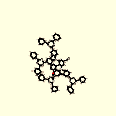 N#Cc1cccc(-c2c(-n3c4ccc(-c5nc(-c6ccccc6)nc(-c6ccccc6)n5)cc4c4cc(-c5nc(-c6ccccc6)nc(-c6ccccc6)n5)ccc43)cc(C#N)cc2-n2c3ccc(-c4nc(-c5ccccc5)nc(-c5ccccc5)n4)cc3c3cc(-c4nc(-c5ccccc5)nc(-c5ccccc5)n4)ccc32)c1